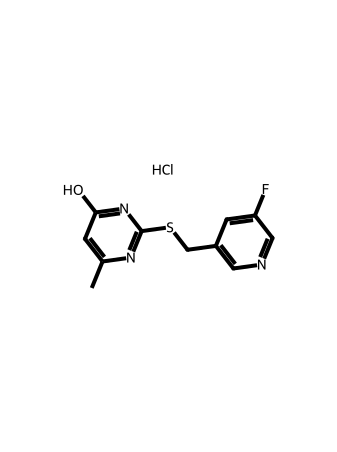 Cc1cc(O)nc(SCc2cncc(F)c2)n1.Cl